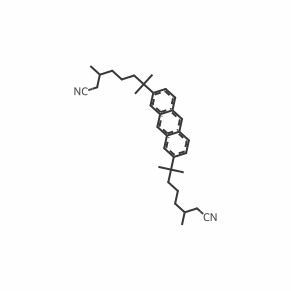 CC(CC#N)CCCC(C)(C)c1ccc2cc3ccc(C(C)(C)CCCC(C)CC#N)cc3cc2c1